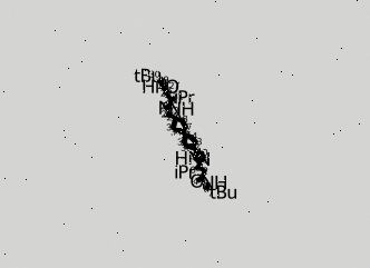 CC(C)C(CC(=O)NCC(C)(C)C)c1ncc(-c2ccc(-c3ccc(-c4cnc(C(CC(=O)NCC(C)(C)C)C(C)C)[nH]4)cc3)cc2)[nH]1